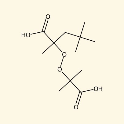 CC(C)(C)CC(C)(OOC(C)(C)C(=O)O)C(=O)O